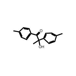 Cc1ccc(C(=O)C(C)(O)c2ccc(C)cc2)cc1